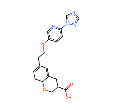 O=C(O)C1COC2CC=C(CCOc3ccc(-n4cncn4)nc3)C=C2C1